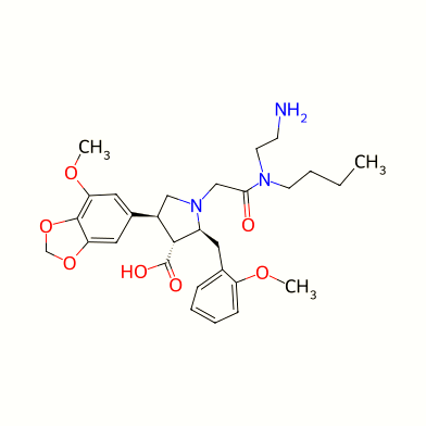 CCCCN(CCN)C(=O)CN1C[C@H](c2cc(OC)c3c(c2)OCO3)[C@@H](C(=O)O)[C@@H]1Cc1ccccc1OC